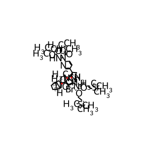 CC(C)(C)OC(=O)NN(C(=O)OC(C)(C)C)c1ccc(-c2cnn3c(N(COCC[Si](C)(C)C)COCC[Si](C)(C)C)c(Br)c(C4C[C@H]5CC[C@@H](C4)N5C(=O)OC(C)(C)C)nc23)cn1